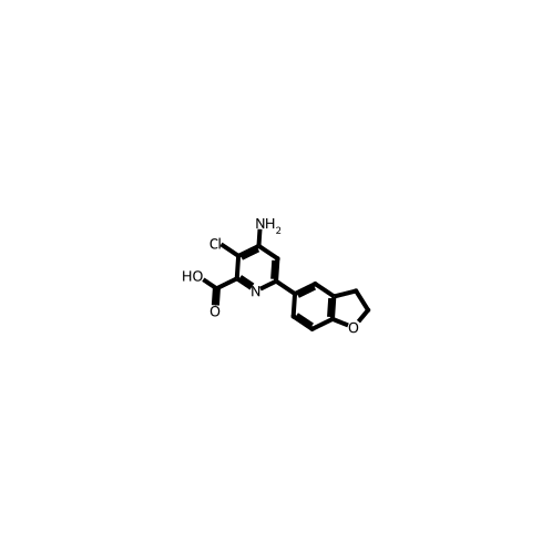 Nc1cc(-c2ccc3c(c2)CCO3)nc(C(=O)O)c1Cl